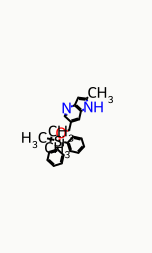 Cc1cc2ncc(CO[Si](c3ccccc3)(c3ccccc3)C(C)(C)C)cc2[nH]1